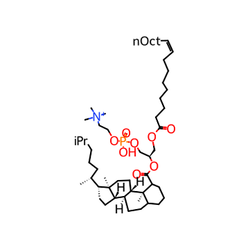 CCCCCCCC/C=C\CCCCCCCC(=O)OC[C@H](COP(=O)(O)OCC[N+](C)(C)C)OC(=O)C1CCCC2CC[C@@H]3[C@H](CC[C@]4(C)[C@@H]([C@H](C)CCCC(C)C)CC[C@@H]34)[C@]21C